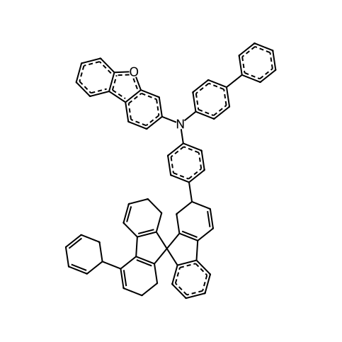 C1=CCC(C2=CCCC3=C2C2=C(CCC=C2)C32C3=C(C=CC(c4ccc(N(c5ccc(-c6ccccc6)cc5)c5ccc6c(c5)oc5ccccc56)cc4)C3)c3ccccc32)C=C1